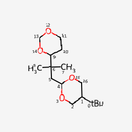 CC(C)(C)C1COC(CC(C)(C)C2CCOCO2)OC1